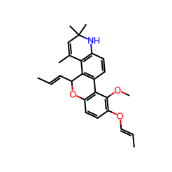 CC=COc1ccc2c(c1OC)-c1ccc3c(c1C(C=CC)O2)C(C)=CC(C)(C)N3